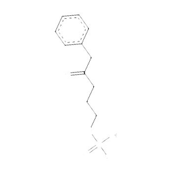 O=C(CCCOP(=O)(O)O)Cc1ccccc1